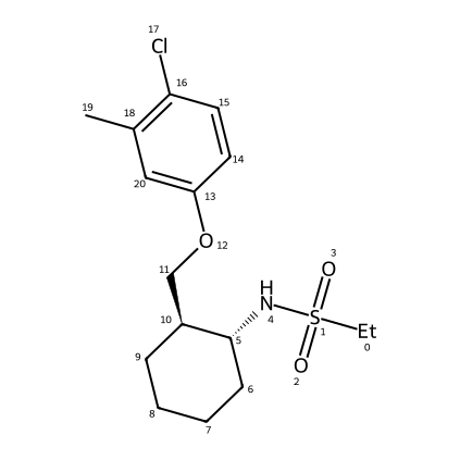 CCS(=O)(=O)N[C@@H]1CCCC[C@H]1COc1ccc(Cl)c(C)c1